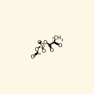 CC(=O)C(=O)OS(=O)(=O)OC=O